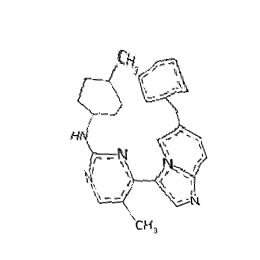 Cc1cnc(NC2CCC(C)CC2)nc1-c1cnc2ccc(-c3ccccc3)cn12